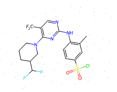 Cc1cc(S(=O)(=O)Cl)ccc1Nc1ncc(C(F)(F)F)c(N2CCCC(C(F)F)C2)n1